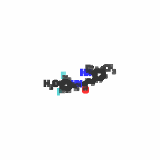 CCNc1cc(C(F)(F)F)ccc1/C=C/C(=O)NCc1cc(F)c(C)c(F)c1